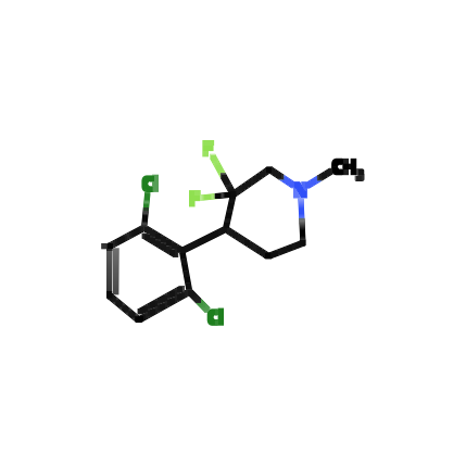 CN1CCC(c2c(Cl)[c]ccc2Cl)C(F)(F)C1